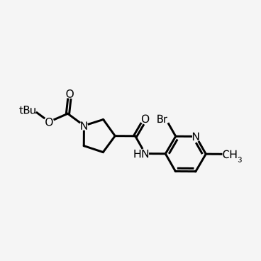 Cc1ccc(NC(=O)C2CCN(C(=O)OC(C)(C)C)C2)c(Br)n1